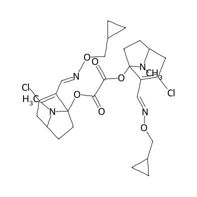 CN1C2CCC1(OC(=O)C(=O)OC13CCC(CC(Cl)=C1C=NOCC1CC1)N3C)C(C=NOCC1CC1)=C(Cl)C2